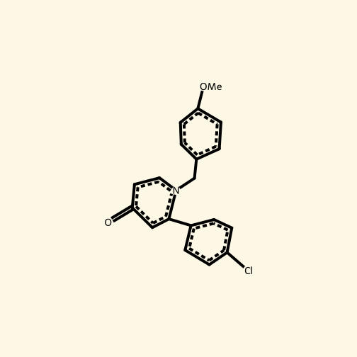 COc1ccc(Cn2ccc(=O)cc2-c2ccc(Cl)cc2)cc1